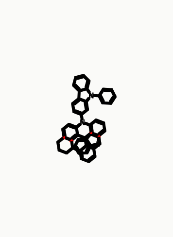 c1ccc(-n2c3ccccc3c3ccc(N(c4ccccc4-c4cccc5cccc(C6CCCCC6)c45)c4cccc5sc6ccccc6c45)cc32)cc1